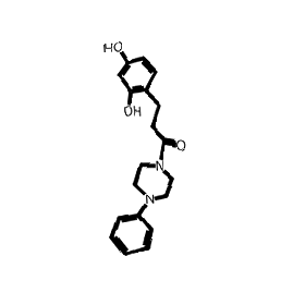 O=C(CCc1ccc(O)cc1O)N1CCN(c2ccccc2)CC1